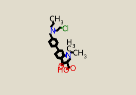 CCCN(CCCl)Cc1ccc(-c2ccc3c(=O)c(C(=O)O)cn(C(C)C)c3c2)cc1